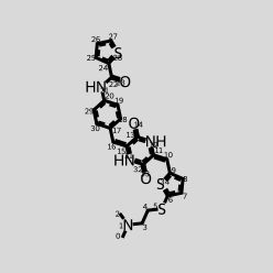 CN(C)CCSc1ccc(C=c2[nH]c(=O)c(=Cc3ccc(NC(=O)c4cccs4)cc3)[nH]c2=O)s1